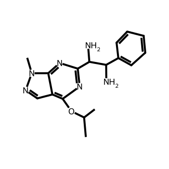 CC(C)Oc1nc(C(N)C(N)c2ccccc2)nc2c1cnn2C